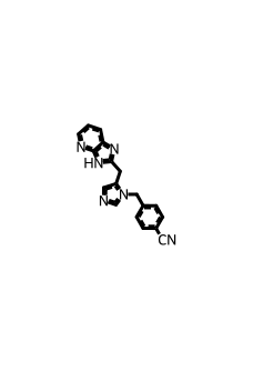 N#Cc1ccc(Cn2cncc2Cc2nc3cccnc3[nH]2)cc1